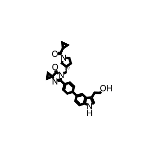 O=C(C1CC1)N1CC[C@@H](CN2C(=O)C3(CC3)N=C2C2=CCC(c3ccc4[nH]cc(CCO)c4c3)C=C2)C1